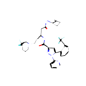 O=C(CC(CCN1CCCC(F)(F)C1)NC(=O)c1cc(-c2ccccc2C(F)(F)F)n(-c2ccccn2)n1)NC1CCC1